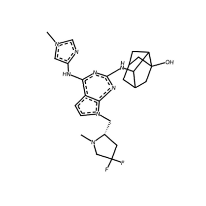 CN1CC(F)(F)C[C@H]1Cn1ccc2c(Nc3cn(C)cn3)nc(NC3C4CC5CC3C(O)(C5)C4)nc21